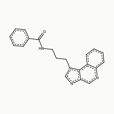 O=C(NCCCn1cnc2cnc3ccccc3c21)c1ccccc1